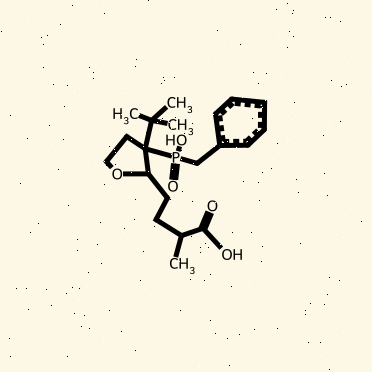 CC(CCC1OCCC1(C(C)(C)C)P(=O)(O)Cc1ccccc1)C(=O)O